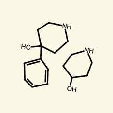 OC1(c2ccccc2)CCNCC1.OC1CCNCC1